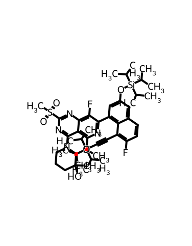 COc1nc(-c2cc(O[Si](C(C)C)(C(C)C)C(C)C)cc3ccc(F)c(C#C[Si](C(C)C)(C(C)C)C(C)C)c23)c(F)c2nc(S(C)(=O)=O)nc(N3CCCC(C)(O)C3)c12